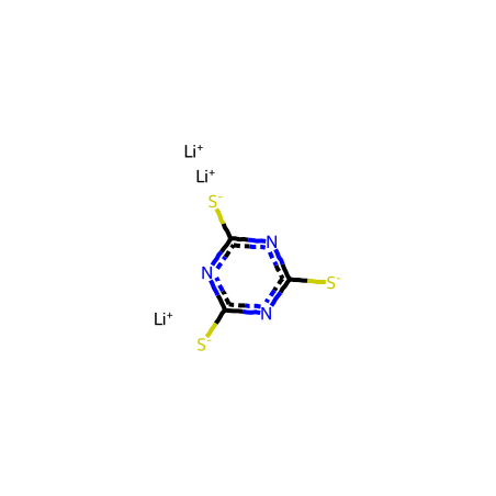 [Li+].[Li+].[Li+].[S-]c1nc([S-])nc([S-])n1